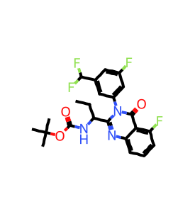 CCC(NC(=O)OC(C)(C)C)c1nc2cccc(F)c2c(=O)n1-c1cc(F)cc(C(F)F)c1